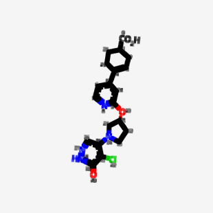 O=C(O)C1CC=C(c2ccnc(O[C@@H]3CCN(c4cn[nH]c(=O)c4Cl)C3)c2)CC1